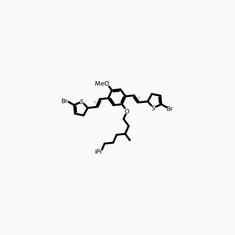 COc1cc(/C=C/C2CC=C(Br)S2)c(OCCC(C)CCCC(C)C)cc1/C=C/C1CC=C(Br)S1